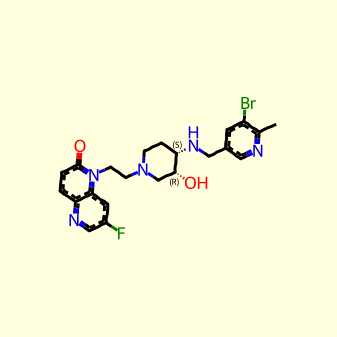 Cc1ncc(CN[C@H]2CCN(CCn3c(=O)ccc4ncc(F)cc43)C[C@H]2O)cc1Br